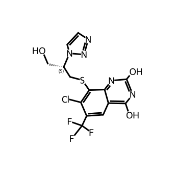 OC[C@@H](CSc1c(Cl)c(C(F)(F)F)cc2c(O)nc(O)nc12)n1ccnn1